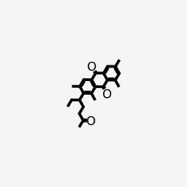 CCC(CCC(C)=O)c1c(C)cc2c(c1C)C(=O)c1c(C)cc(C)cc1C2=O